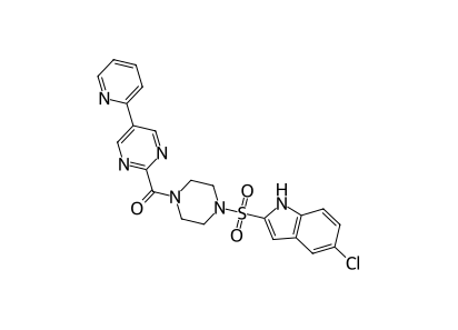 O=C(c1ncc(-c2ccccn2)cn1)N1CCN(S(=O)(=O)c2cc3cc(Cl)ccc3[nH]2)CC1